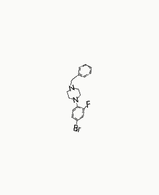 Fc1cc(Br)ccc1N1CCN(Cc2ccccc2)CC1